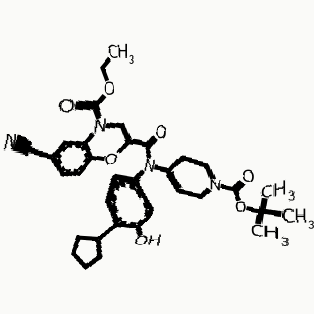 CCOC(=O)N1CC(C(=O)N(C2=CCN(C(=O)OC(C)(C)C)CC2)c2ccc(C3CCCC3)c(O)c2)Oc2ccc(C#N)cc21